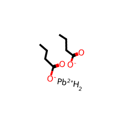 CCCC(=O)[O-].CCCC(=O)[O-].[PbH2+2]